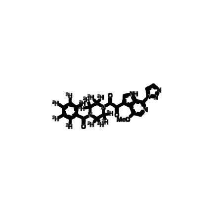 [2H]c1c([2H])c([2H])c(C(=O)N2C([2H])([2H])C([2H])([2H])N(C(=O)C(=O)c3c[nH]c4c(-n5ccnn5)ncc(OC)c34)C([2H])([2H])C2([2H])[2H])c([2H])c1[2H]